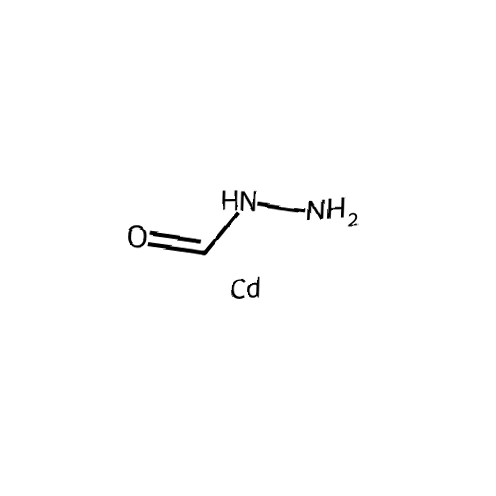 NNC=O.[Cd]